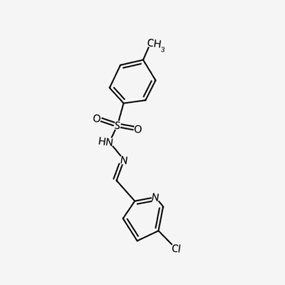 Cc1ccc(S(=O)(=O)NN=Cc2ccc(Cl)cn2)cc1